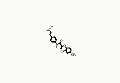 C=C(Oc1ccc(C(F)(F)F)cc1Cl)C(=O)Nc1ccc(CCN(CC)CC)cc1